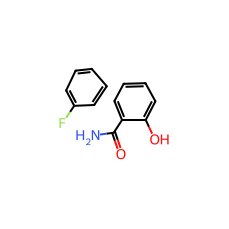 Fc1ccccc1.NC(=O)c1ccccc1O